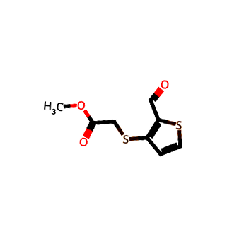 COC(=O)CSc1ccsc1C=O